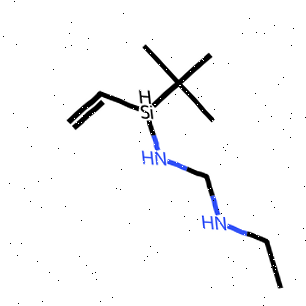 C=C[SiH](NCNCC)C(C)(C)C